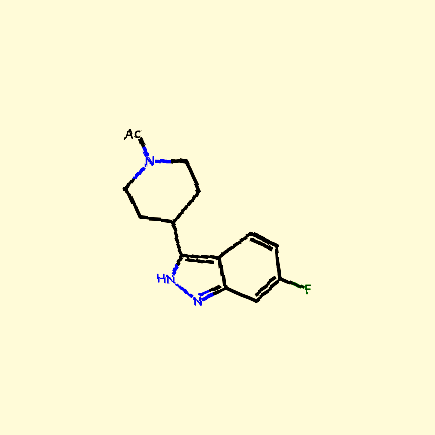 CC(=O)N1CCC(c2[nH]nc3cc(F)ccc23)CC1